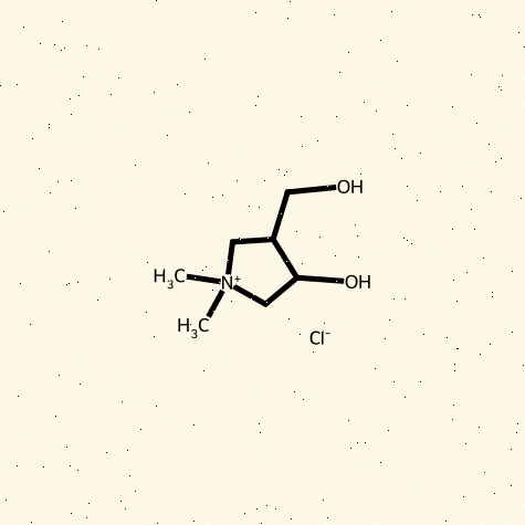 C[N+]1(C)CC(O)C(CO)C1.[Cl-]